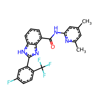 Cc1cc(C)nc(NC(=O)c2cccc3[nH]c(-c4cc(F)ccc4C(F)(F)F)nc23)c1